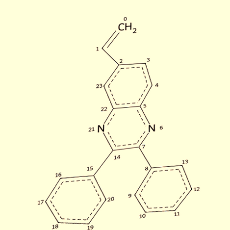 C=Cc1ccc2nc(-c3ccccc3)c(-c3ccccc3)nc2c1